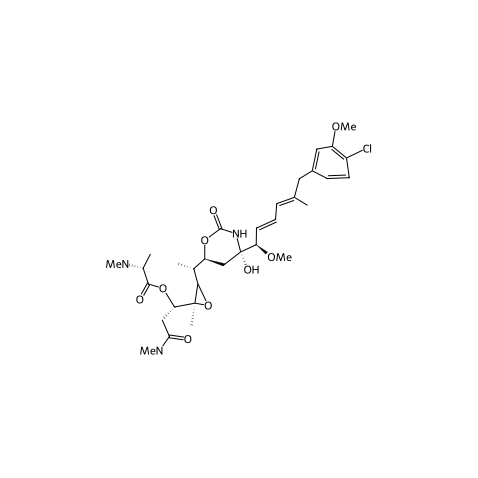 CNC(=O)C[C@H](OC(=O)[C@@H](C)NC)[C@]1(C)OC1[C@H](C)[C@@H]1C[C@](O)([C@@H](/C=C/C=C(\C)Cc2ccc(Cl)c(OC)c2)OC)NC(=O)O1